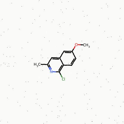 COc1ccc2c(Cl)nc(C)cc2c1